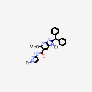 CCn1ccc(NC(=O)c2cc3c(nc2OC)nc(C(c2ccccc2)c2ccccc2)n3CC)n1